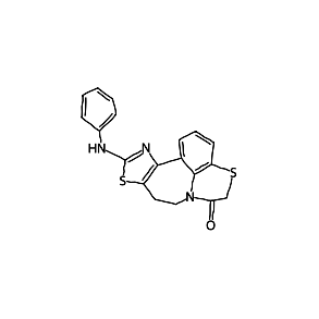 O=C1CSc2cccc3c2N1CCc1sc(Nc2ccccc2)nc1-3